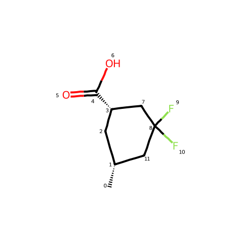 C[C@@H]1C[C@H](C(=O)O)CC(F)(F)C1